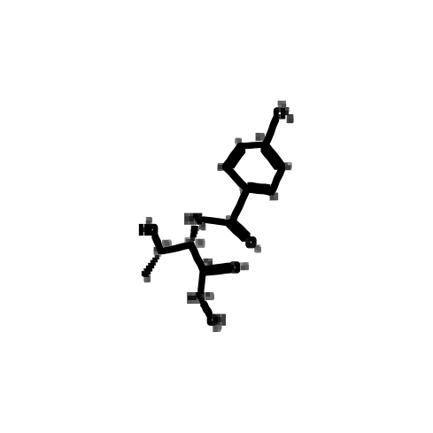 C[C@H](O)[C@H](NC(=O)c1ccc(C(F)(F)F)cc1)C(=O)NO